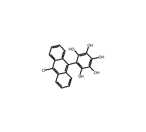 Oc1c(O)c(O)c(-c2c3ccccc3c(Cl)c3ccccc23)c(O)c1O